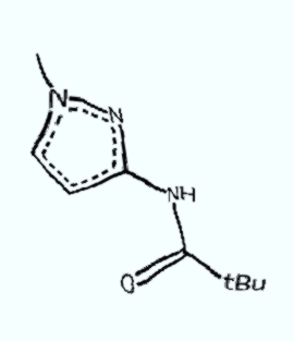 Cn1ccc(NC(=O)C(C)(C)C)n1